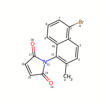 Cc1ccc2c(Br)cccc2c1N1C(=O)C=CC1=O